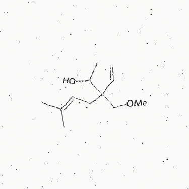 C=CC(CC=C(C)C)(COC)C(C)O